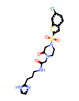 O=C(CN1CCN(S(=O)(=O)c2cc3ccc(Cl)cc3s2)CC1=O)NCCCc1ncc[nH]1